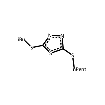 CCCCCSc1nnc(SC(C)CC)s1